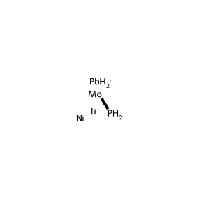 [Ni].[PH2][Mo].[PbH2].[Ti]